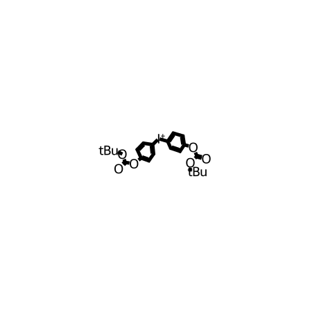 CC(C)(C)OC(=O)Oc1ccc([I+]c2ccc(OC(=O)OC(C)(C)C)cc2)cc1